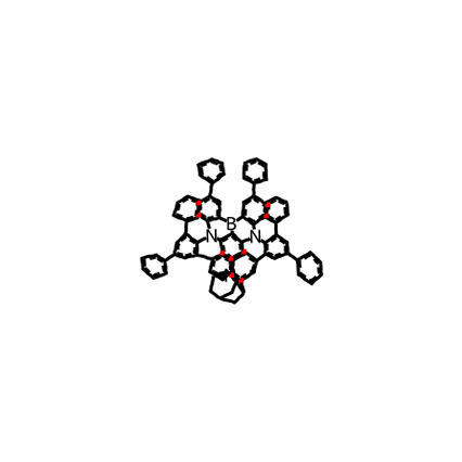 c1ccc(-c2ccc3c(c2)B2c4cc(-c5ccccc5)ccc4N(c4c(-c5ccccc5)cc(-c5ccccc5)cc4-c4ccccc4)c4cc(N5CC6CC7CC6CC5C7)cc(c42)N3c2c(-c3ccccc3)cc(-c3ccccc3)cc2-c2ccccc2)cc1